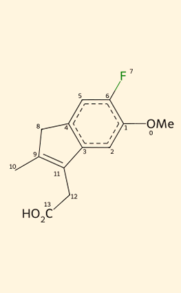 COc1cc2c(cc1F)CC(C)=C2CC(=O)O